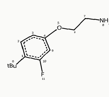 CC(C)(C)c1ccc(OCCN)cc1F